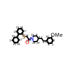 COc1cccc(CCC2CCN(C(=O)CSc3ccccc3-c3ccccc3)CC2)c1